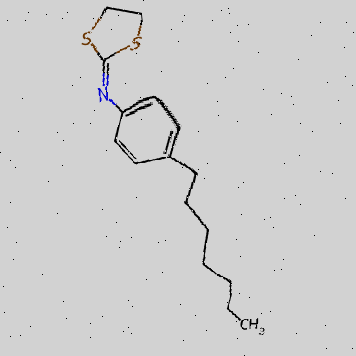 CCCCCCCc1ccc(N=C2SCCS2)cc1